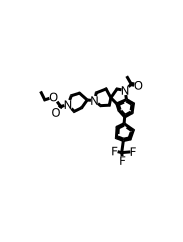 CCOC(=O)N1CCC(N2CCC3(CC2)CN(C(C)=O)c2ccc(-c4ccc(C(F)(F)F)cc4)cc23)CC1